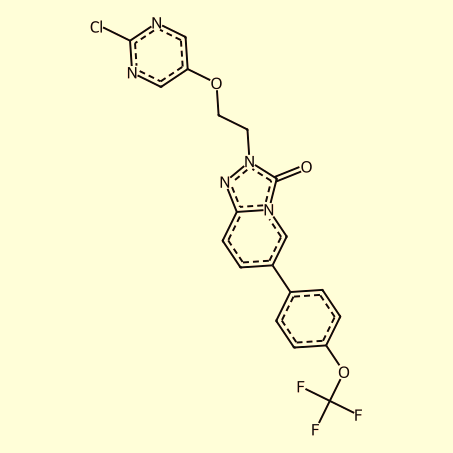 O=c1n(CCOc2cnc(Cl)nc2)nc2ccc(-c3ccc(OC(F)(F)F)cc3)cn12